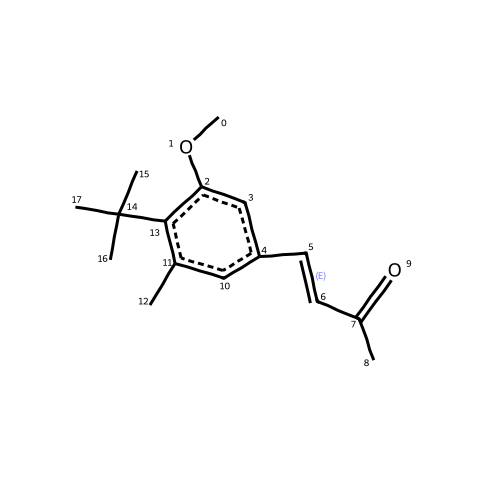 COc1cc(/C=C/C(C)=O)cc(C)c1C(C)(C)C